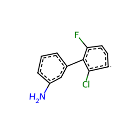 Nc1cccc(-c2c(Cl)[c]ccc2F)c1